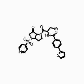 CC(C)CC(NC(=O)c1ccc(-c2cccs2)cc1)C(=O)N1CCC2C1C(=O)CN2S(=O)(=O)c1ccncc1